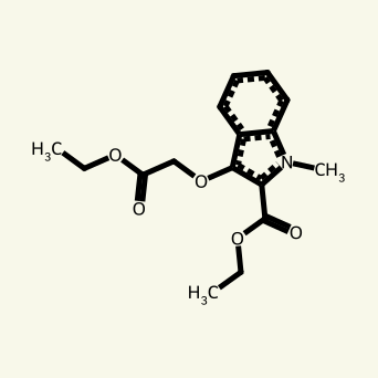 CCOC(=O)COc1c(C(=O)OCC)n(C)c2ccccc12